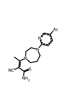 CC(=O)c1ccc(N2CCCN(C(C)=C(C#N)C(N)=S)CC2)nc1